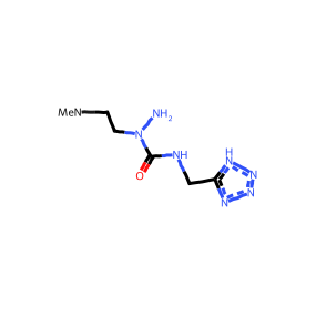 CNCCN(N)C(=O)NCc1nnn[nH]1